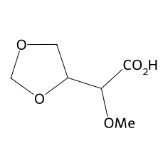 COC(C(=O)O)C1COCO1